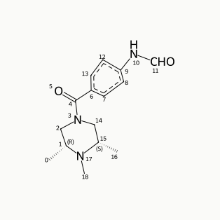 C[C@@H]1CN(C(=O)c2ccc(NC=O)cc2)C[C@H](C)N1C